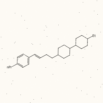 CCCc1ccc(C=CCCC2CCC(C3CCC(CC)CC3)CC2)cc1